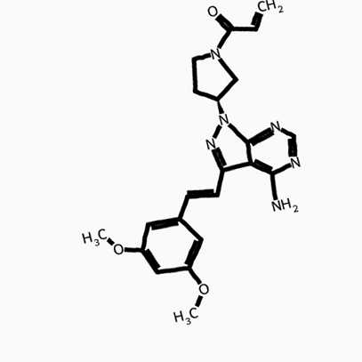 C=CC(=O)N1CC[C@H](n2nc(/C=C/c3cc(OC)cc(OC)c3)c3c(N)ncnc32)C1